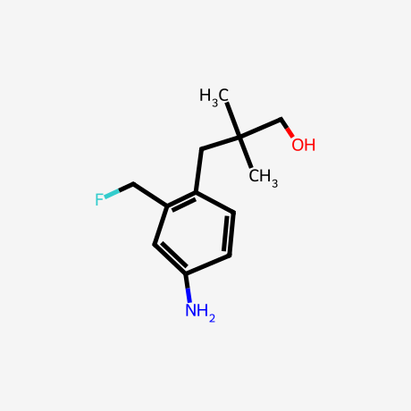 CC(C)(CO)Cc1ccc(N)cc1CF